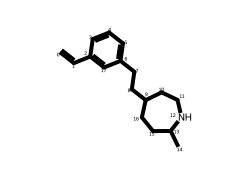 C=Cc1cccc(CCC2CCNC(C)CC2)c1